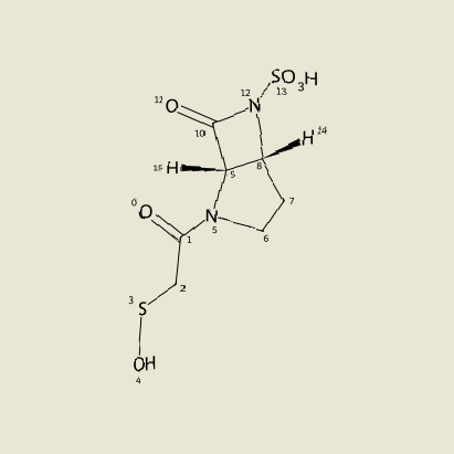 O=C(CSO)N1CC[C@@H]2[C@H]1C(=O)N2S(=O)(=O)O